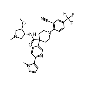 CO[C@@H]1CN(C)C[C@@H]1NC(=O)C1(c2ccc(-c3cccn3C)nc2)CCN(c2ccc(C(F)(F)F)cc2C#N)CC1